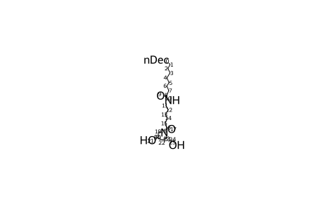 CCCCCCCCCCCCCCCCCC(=O)NCCCCCC(=O)N1C[C@H](O)C[C@H]1CO